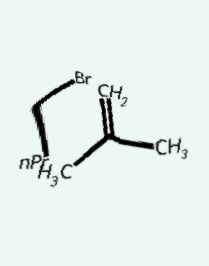 C=C(C)C.CCCCBr